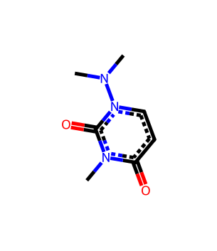 CN(C)n1ccc(=O)n(C)c1=O